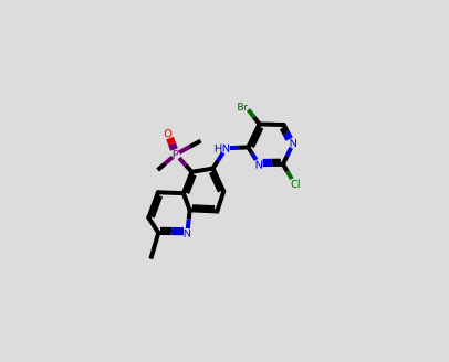 Cc1ccc2c(P(C)(C)=O)c(Nc3nc(Cl)ncc3Br)ccc2n1